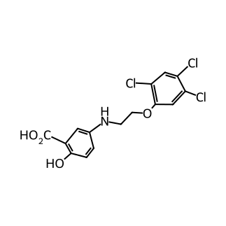 O=C(O)c1cc(NCCOc2cc(Cl)c(Cl)cc2Cl)ccc1O